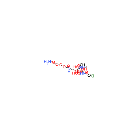 CC(=O)N[C@H]1[C@H]([C@H](O)[C@H](O)CNC(=O)Cc2ccc(Cl)cc2)O[C@@](OCCCCCNC(=O)CCOCCOCCOCCOCCN)(C(=O)O)C[C@@H]1O